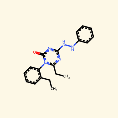 CCc1ccccc1-n1c(CC)nc(NNc2ccccc2)nc1=O